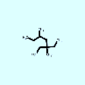 [CH2]C([CH]C(C)CC)(CC)CC